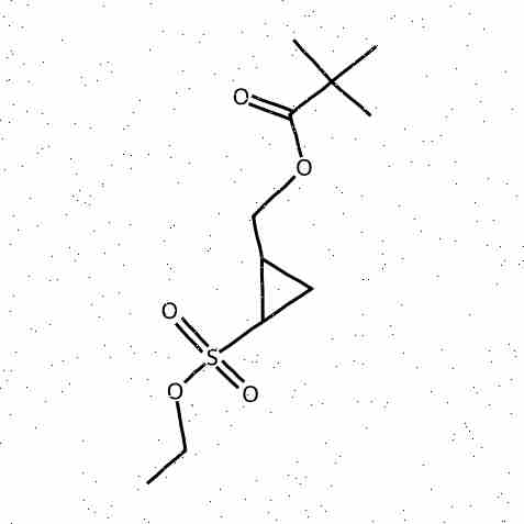 CCOS(=O)(=O)C1CC1COC(=O)C(C)(C)C